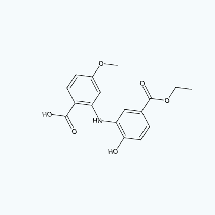 CCOC(=O)c1ccc(O)c(Nc2cc(OC)ccc2C(=O)O)c1